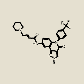 Cn1cc2c(=O)n(-c3ccc(C(F)(F)F)cc3)c3ccc(NC(=O)/C=C/CN4CCCCC4)cc3c2n1